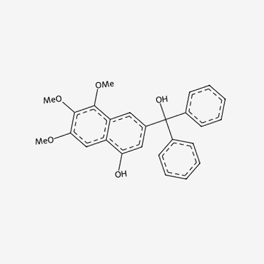 COc1cc2c(O)cc(C(O)(c3ccccc3)c3ccccc3)cc2c(OC)c1OC